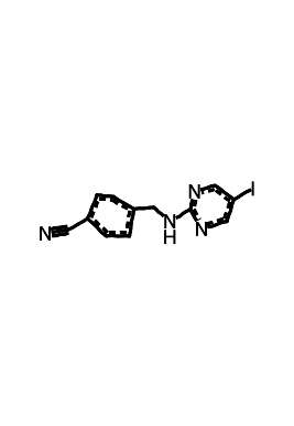 N#Cc1ccc(CNc2ncc(I)cn2)cc1